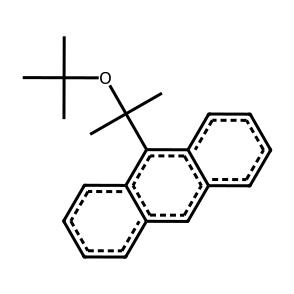 CC(C)(C)OC(C)(C)c1c2ccccc2cc2ccccc12